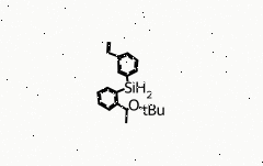 C=Cc1cccc([SiH2]c2ccccc2C(C)OC(C)(C)C)c1